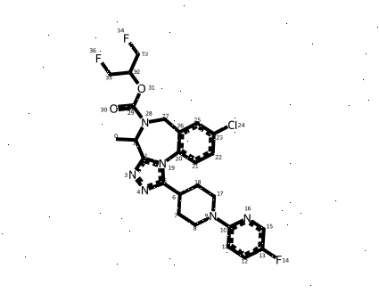 CC1c2nnc(C3CCN(c4ccc(F)cn4)CC3)n2-c2ccc(Cl)cc2CN1C(=O)OC(CF)CF